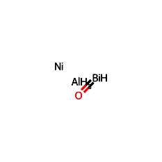 [AlH3].[Ni].[O]=[BiH]